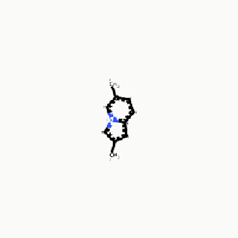 Cc1ccc2cc(C)cn2c1